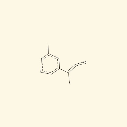 CC(=C=O)c1cccc(C)c1